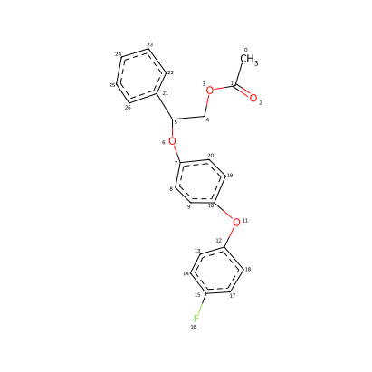 CC(=O)OCC(Oc1ccc(Oc2ccc(F)cc2)cc1)c1ccccc1